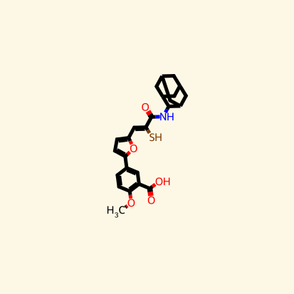 COc1ccc(-c2ccc(/C=C(\S)C(=O)NC3C4CC5CC(C4)CC3C5)o2)cc1C(=O)O